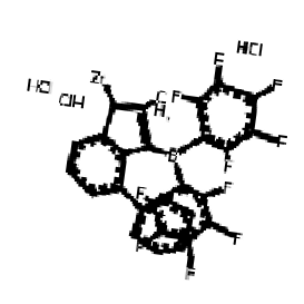 CC1=C(B(c2c(F)c(F)c(F)c(F)c2F)c2c(F)c(F)c(F)c(F)c2F)c2c(-c3ccccc3)cccc2[CH]1[Zr].Cl.Cl.Cl